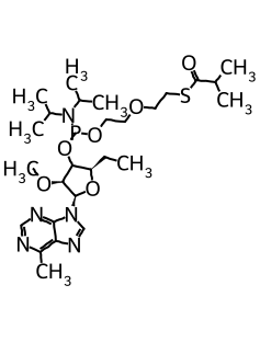 CC[C@H]1O[C@@H](n2cnc3c(C)ncnc32)[C@@H](OC)C1OP(OCCOCCSC(=O)C(C)C)N(C(C)C)C(C)C